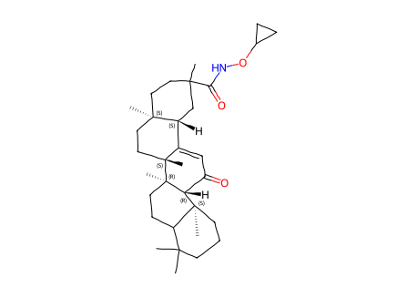 CC1(C(=O)NOC2CC2)CC[C@]2(C)CC[C@]3(C)C(=CC(=O)[C@@H]4[C@@]5(C)CCCC(C)(C)C5CC[C@]43C)[C@H]2C1